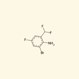 Nc1c(Br)cc(F)cc1C(F)F